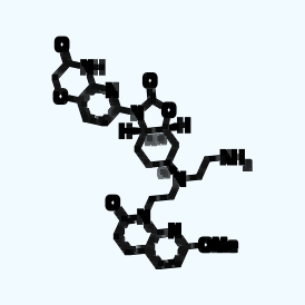 COc1ccc2ccc(=O)n(CCN(CCN)[C@H]3CC[C@H]4[C@@H](C3)OC(=O)N4c3ccc4c(n3)NC(=O)CO4)c2n1